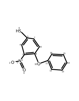 O=[N+]([O-])c1cc(S)ccc1Oc1ccccc1